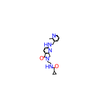 Cc1ncccc1CNc1ccc2c(n1)CN(CCNC(=O)C1CC1)C2=O